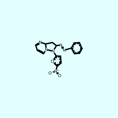 O=[N+]([O-])c1ccc(N2C(N=Nc3ccccc3)CC3N=CC=CN32)o1